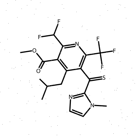 COC(=O)c1c(C(F)F)nc(C(F)(F)F)c(C(=S)c2nccn2C)c1CC(C)C